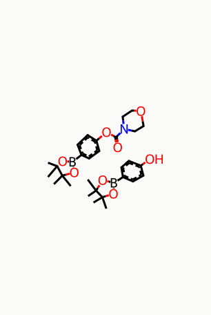 CC1(C)OB(c2ccc(O)cc2)OC1(C)C.CC1(C)OB(c2ccc(OC(=O)N3CCOCC3)cc2)OC1(C)C